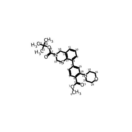 COC(=O)c1ccc(-c2cccc3c2SCN(C(=O)OC(C)(C)C)C3)cc1N1CCOCC1